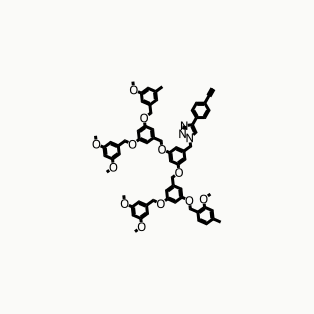 C#Cc1ccc(-c2cn(Cc3cc(OCc4cc(OCc5cc(C)cc(OC)c5)cc(OCc5cc(OC)cc(OC)c5)c4)cc(OCc4cc(OCc5cc(OC)cc(OC)c5)cc(OCc5ccc(C)cc5OC)c4)c3)nn2)cc1